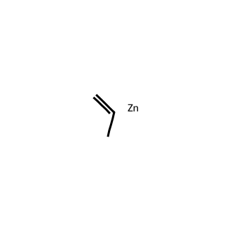 C=CC.[Zn]